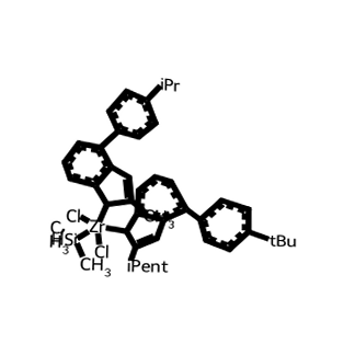 CCCC(C)C1=Cc2c(-c3ccc(C(C)(C)C)cc3)cccc2[CH]1[Zr]([Cl])([Cl])([CH]1C(C)=Cc2c(-c3ccc(C(C)C)cc3)cccc21)[SiH](C)C